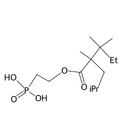 CCC(C)(C)C(C)(CC(C)C)C(=O)OCCP(=O)(O)O